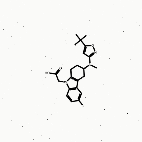 CN(c1cc(C(C)(C)C)on1)C1CCc2c(c3cc(F)ccc3n2CC(=O)O)C1